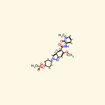 COc1cc2nn(C3CCC(OS(C)(=O)=O)CC3)cc2cc1C(=O)Nc1cccn(C)c1=O